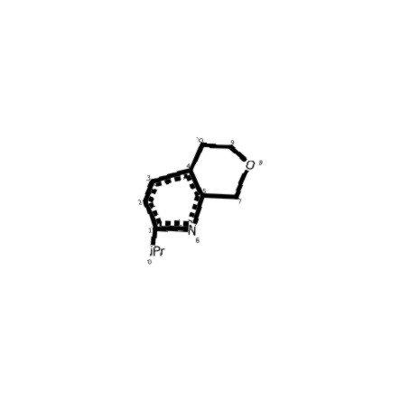 CC(C)c1ccc2c(n1)COCC2